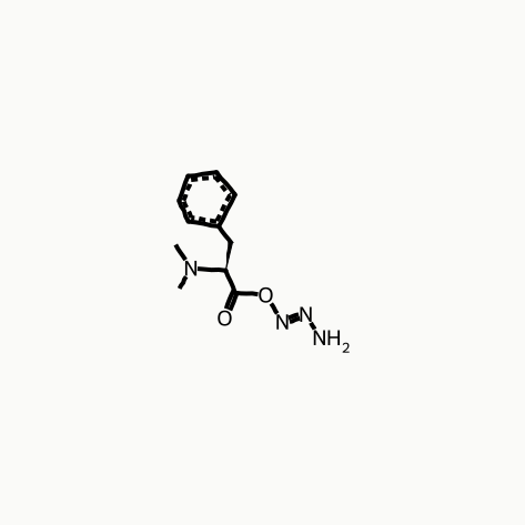 CN(C)[C@@H](Cc1ccccc1)C(=O)ON=NN